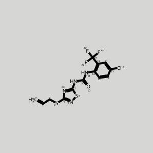 C=CCSc1nsc(NC(=O)Nc2ccc(Cl)cc2C(F)(F)F)n1